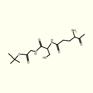 CC(=O)C(N)CCC(=O)NC(CS)C(=O)NCC(=O)OC(C)(C)C